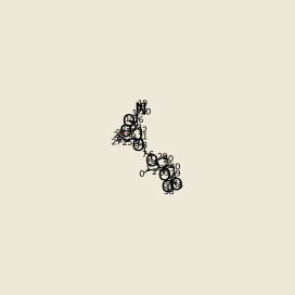 CCCc1c(OCCCOc2ccc(C(=O)C=CN(C)C)c(OC)c2CC2CC2)ccc2c1OC(C(=O)OC)CC2